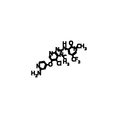 Cn1cc(C(F)(F)F)cc(Nc2nc3ncc(Oc4ccnc(N)c4)c(Cl)c3n2C)c1=O